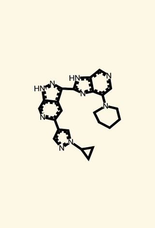 c1nn(C2CC2)cc1-c1cc2c(-c3nc4c(N5CCCCC5)cncc4[nH]3)n[nH]c2cn1